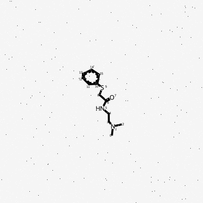 CN(C)CCNC(=O)CSc1ccccc1